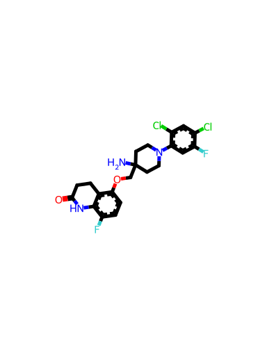 NC1(COc2ccc(F)c3c2CCC(=O)N3)CCN(c2cc(F)c(Cl)cc2Cl)CC1